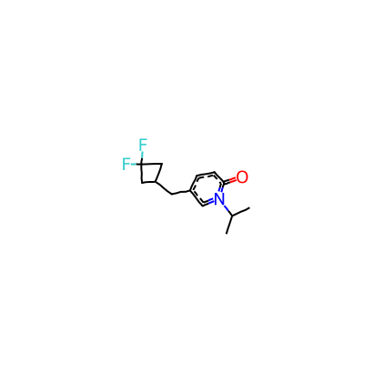 CC(C)n1cc(CC2CC(F)(F)C2)ccc1=O